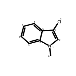 Cn1cc(Cl)c2ccccc21